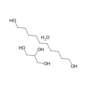 O.OCC(O)CO.OCCCCCCCCCCO